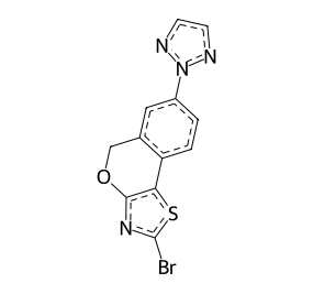 Brc1nc2c(s1)-c1ccc(-n3nccn3)cc1CO2